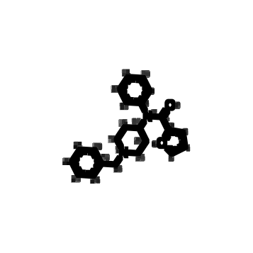 O=C(c1ccco1)N(c1ccccc1)C1CCN(Cc2ccccc2)CC1